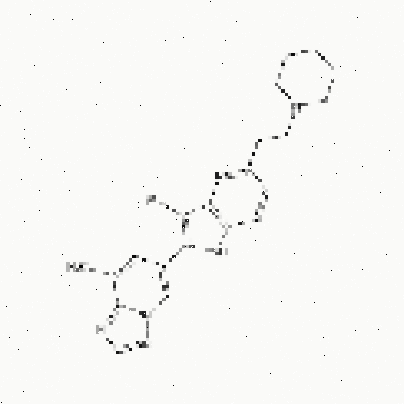 Cc1cc(-c2[nH]c3ccc(CCN4CCCCC4)nc3c2C(C)C)cn2ncnc12